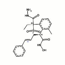 CC[C@](C(=O)NN)(c1cccc(C)c1[C@H](C/C=C/c1ccccc1)C(=O)NO)S(C)(=O)=O